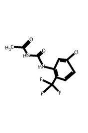 [CH2]C(=O)NC(=O)Nc1cc(Cl)ccc1C(F)(F)F